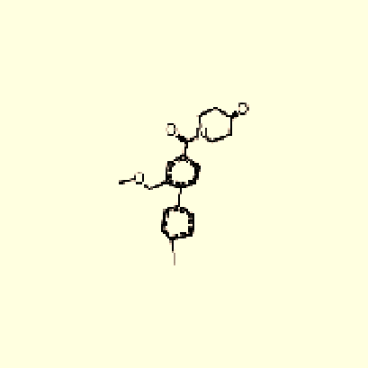 COCc1cc(C(=O)N2CCC(=O)CC2)ccc1-c1ccc(I)cc1